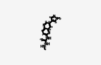 CNNC(=S)Nc1ccc2ncc(-c3cnn(C)c3)cc2n1